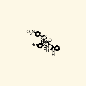 O=C(Nc1nc(-c2ccc([N+](=O)[O-])cc2)cs1)[C@H](Cc1c[nH]c2ccccc12)NS(=O)(=O)c1ccc(Br)cc1